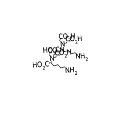 NCCCC[C@@H](C(=O)O)N(CC(=O)O)CC(=O)O.NCCCC[C@@H](C(=O)O)N(CC(=O)O)CC(=O)O